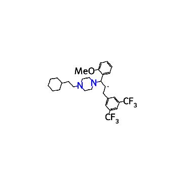 COc1ccccc1C([CH]Cc1cc(C(F)(F)F)cc(C(F)(F)F)c1)N1CCN(CCC2CCCCC2)CC1